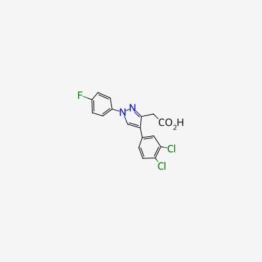 O=C(O)Cc1nn(-c2ccc(F)cc2)cc1-c1ccc(Cl)c(Cl)c1